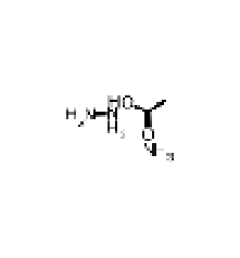 CC(=O)O.N.NN